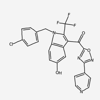 O=C(c1nc(-c2ccncc2)no1)c1c(C(F)(F)F)n(Cc2ccc(Cl)cc2)c2ccc(O)cc12